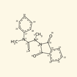 CN(C(=S)N(C)N1C(=O)c2ccccc2C1=O)c1ccccc1